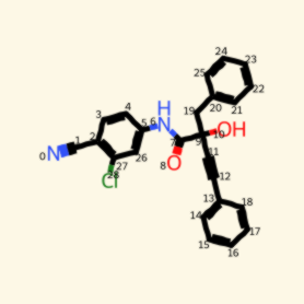 N#Cc1ccc(NC(=O)C(O)(C#Cc2ccccc2)Cc2ccccc2)cc1Cl